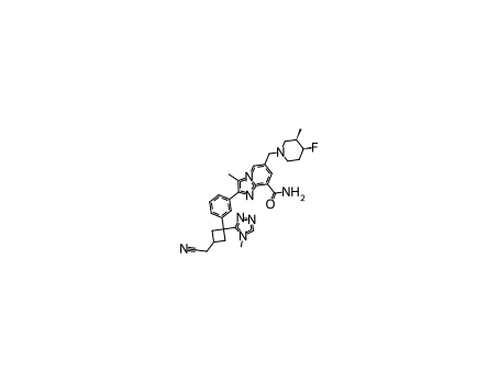 Cc1c(-c2cccc(C3(c4nncn4C)CC(CC#N)C3)c2)nc2c(C(N)=O)cc(CN3CC[C@H](F)[C@H](C)C3)cn12